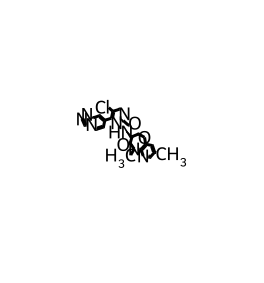 Cc1cnc2c(c1)OC[C@H](NC(=O)c1ncc(Cl)c(-c3ccn4cnnc4c3)n1)C(=O)N2C